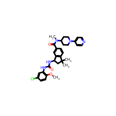 COc1ccc(Cl)cc1NC(=O)NC1CC(C)(C)c2ccc(C(=O)N(C)C3CCN(c4ccncc4)CC3)cc21